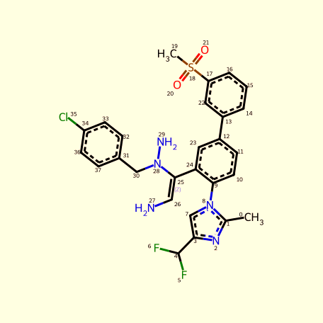 Cc1nc(C(F)F)cn1-c1ccc(-c2cccc(S(C)(=O)=O)c2)cc1/C(=C/N)N(N)Cc1ccc(Cl)cc1